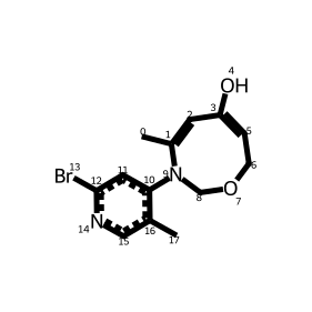 C/C1=C/C(O)=C\COCN1c1cc(Br)ncc1C